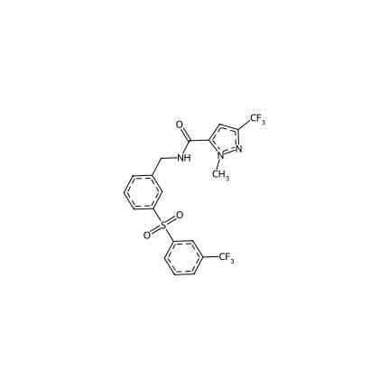 Cn1nc(C(F)(F)F)cc1C(=O)NCc1cccc(S(=O)(=O)c2cccc(C(F)(F)F)c2)c1